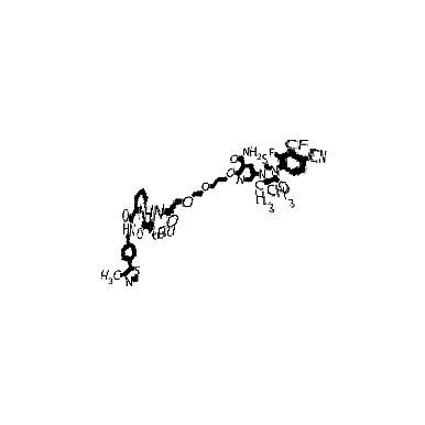 Cc1ncsc1-c1ccc(CNC(=O)C2CCCN2C(=O)C(NC(=O)COCCOCCCOc2ncc(N3C(=S)N(c4ccc(C#N)c(C(F)(F)F)c4F)C(=O)C3(C)C)cc2C(N)=O)C(C)(C)C)cc1